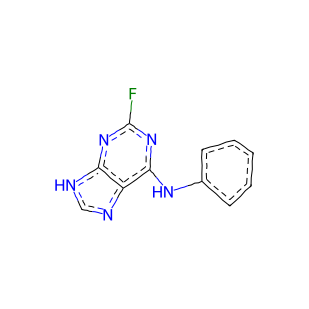 Fc1nc(Nc2ccccc2)c2nc[nH]c2n1